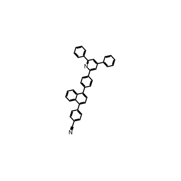 N#Cc1ccc(-c2ccc(-c3ccc(-c4cc(-c5ccccc5)cc(-c5ccccc5)n4)cc3)c3ccccc23)cc1